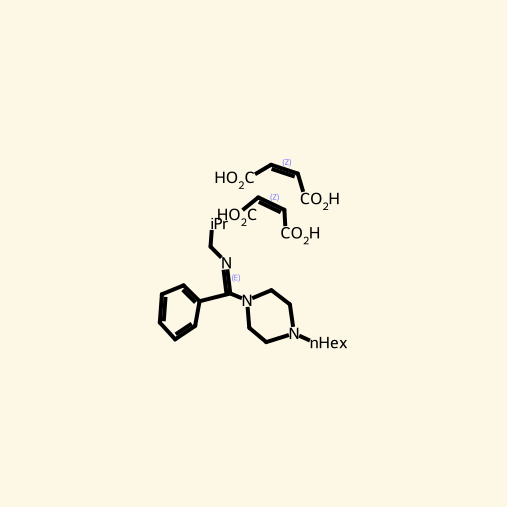 CCCCCCN1CCN(/C(=N/CC(C)C)c2ccccc2)CC1.O=C(O)/C=C\C(=O)O.O=C(O)/C=C\C(=O)O